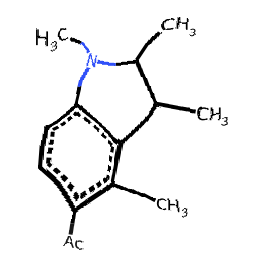 CC(=O)c1ccc2c(c1C)C(C)C(C)N2C